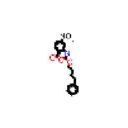 O=c1oc(OCCCCc2ccccc2)nc2cc([N+](=O)[O-])ccc12